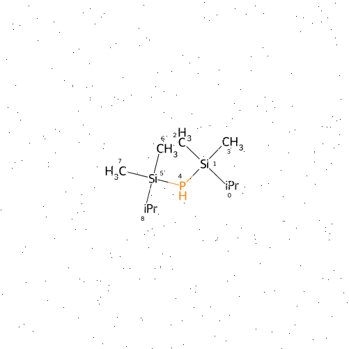 CC(C)[Si](C)(C)P[Si](C)(C)C(C)C